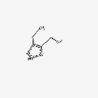 CCc1c[nH]nc1CO